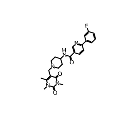 Cc1c(CN2CCC(NC(=O)c3ccc(-c4cccc(F)c4)nc3)CC2)c(=O)n(C)c(=O)n1C